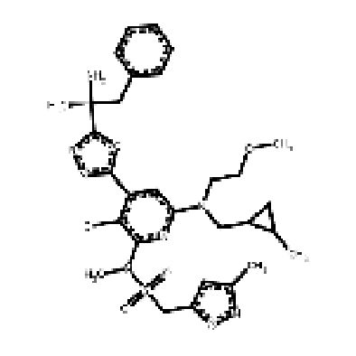 COCCN(CC1CC1C)c1cc(-c2nnc([C@](C)(N)Cc3ccccc3)o2)c(Cl)c(N(C)S(=O)(=O)Cc2cc(C)no2)n1